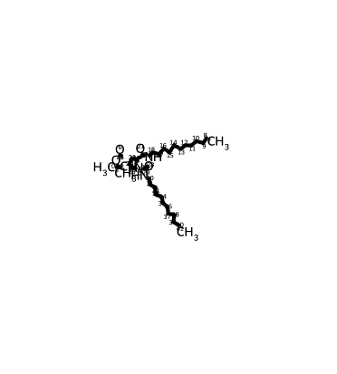 CC(C)(C)OC=O.CCCCCCCCCCCCNC(=O)C1CCCN1C(=O)NCCCCCCCCCCCC